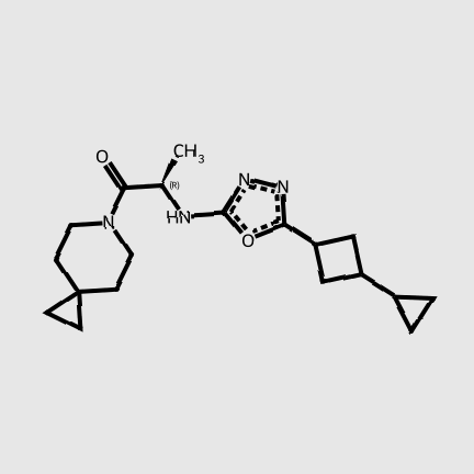 C[C@@H](Nc1nnc(C2CC(C3CC3)C2)o1)C(=O)N1CCC2(CC1)CC2